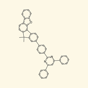 CC1(C)c2cc(-c3ccc(-c4nc(-c5ccccc5)cc(-c5ccccc5)n4)cc3)ccc2-c2c1ccc1c2oc2ccccc21